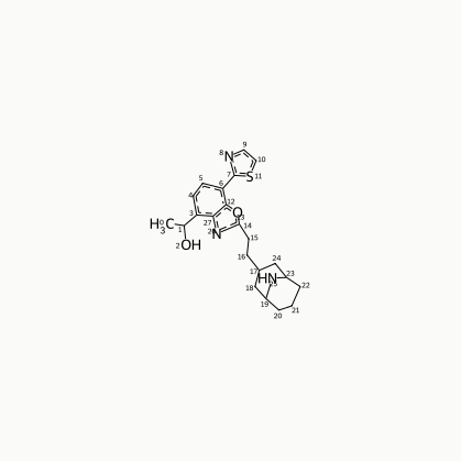 CC(O)c1ccc(-c2nccs2)c2oc(CCC3CC4CCCC(C3)N4)nc12